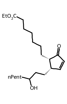 CCCCCC(O)CC[C@H]1C=CC(=O)[C@H]1CCCCCCC(=O)OCC